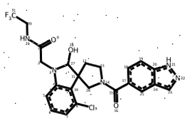 O=C(CN1c2cccc(Cl)c2C2(CCN(C(=O)c3ccc4[nH]ncc4c3)C2)C1O)NCC(F)(F)F